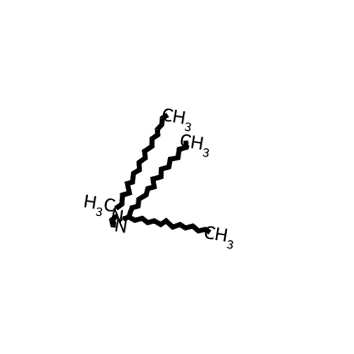 CCCCCCCCCCCCCCCCCC(C)n1ccnc1C(CCCCCCCCCCCCC)CCCCCCCCCCCCCCC